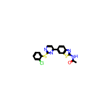 CC(=O)Nc1nc2ccc(-c3ccnc(Sc4ccccc4Cl)n3)cc2s1